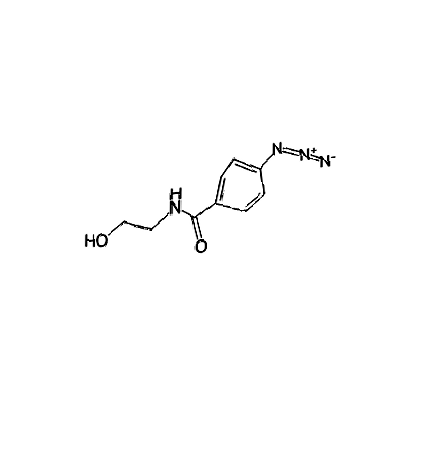 [N-]=[N+]=Nc1ccc(C(=O)NCCO)cc1